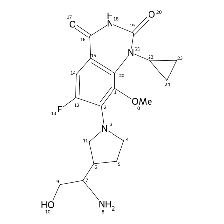 COc1c(N2CCC(C(N)CO)C2)c(F)cc2c(=O)[nH]c(=O)n(C3CC3)c12